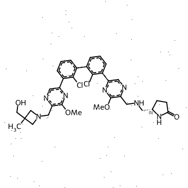 COc1nc(-c2cccc(-c3cccc(-c4cnc(CN5CC(C)(CO)C5)c(OC)n4)c3Cl)c2Cl)cnc1CNC[C@@H]1CCC(=O)N1